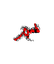 Cc1c(-c2ccc(N3CCc4cccc(C(=O)Nc5nc6ccccc6s5)c4C3)nc2C(=O)O)cnn1CC12CC3CC(C)(C1)CC(OCCN(CCCC(=O)O)C1CCN(C(=O)OCc4ccc(O[C@@H]5O[C@H](C(=O)O)[C@@H](O)[C@H](O)[C@H]5O)cc4OCCOCCNC(=O)CCN4C(=O)C=CC4=O)CC1)(C3)C2